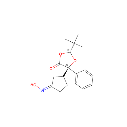 CC(C)(C)[C@H]1OC(=O)[C@](c2ccccc2)(C2CCC(=NO)C2)O1